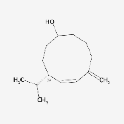 C=C1C=C[C@H](C(C)C)CCC(O)CCC1